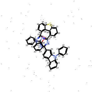 c1ccc(-c2nc(-c3ccc4c5ccccc5n(-c5ccccc5)c4c3)nc(-c3cccc4sc5cccc(-c6nc7ccccc7o6)c5c34)n2)cc1